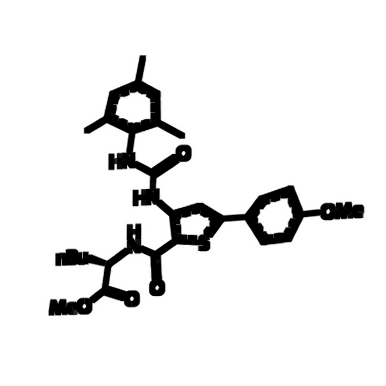 CCCC[C@@H](NC(=O)c1sc(-c2ccc(OC)cc2)cc1NC(=O)Nc1c(C)cc(C)cc1C)C(=O)OC